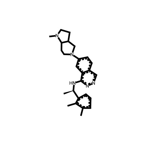 Cc1cccc([C@@H](C)Nc2nncc3ccc(N4CCC5C(CCN5C)C4)cc23)c1C